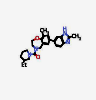 CCC1CCCN(C(=O)N2CCOc3c(C)cc(-c4ccc5nc(C)[nH]c5c4)cc3C2)C1